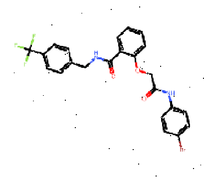 O=C(COc1ccccc1C(=O)NCc1ccc(C(F)(F)F)cc1)Nc1ccc(Br)cc1